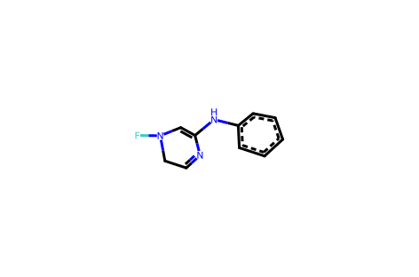 FN1C=C(Nc2ccccc2)N=CC1